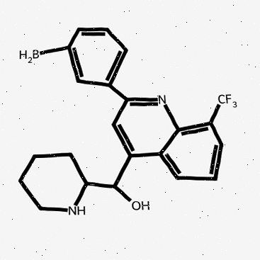 Bc1cccc(-c2cc(C(O)C3CCCCN3)c3cccc(C(F)(F)F)c3n2)c1